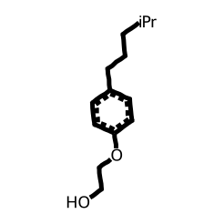 CC(C)CCCc1ccc(OCCO)cc1